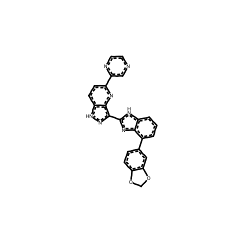 c1cc(-c2ccc3c(c2)OCO3)c2nc(-c3n[nH]c4ccc(-c5cnccn5)nc34)[nH]c2c1